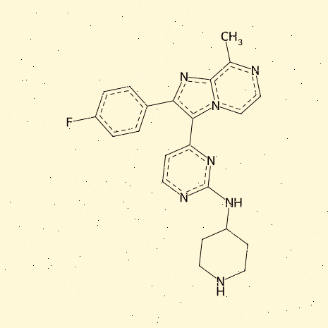 Cc1nccn2c(-c3ccnc(NC4CCNCC4)n3)c(-c3ccc(F)cc3)nc12